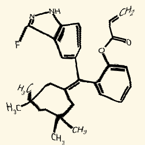 C=CC(=O)Oc1ccccc1C(=C1CC(C)(C)CC(C)(C)C1)c1ccc2[nH]nc(F)c2c1